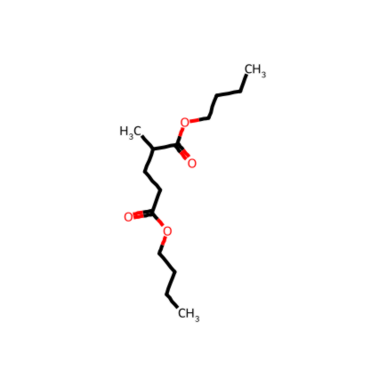 CCCCOC(=O)CCC(C)C(=O)OCCCC